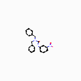 O=C(Nc1cccc([N+](=O)[O-])c1)N(Cc1ccccc1)Cc1ccccc1